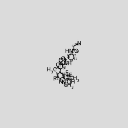 C=N/C(=C\C(=C(C)C)c1cc(F)c2nn(C)c([C@@](C)(O)C(F)(F)F)c2c1)NC(=O)[C@H]1CCC[C@@H](NC(=O)CC#N)C1